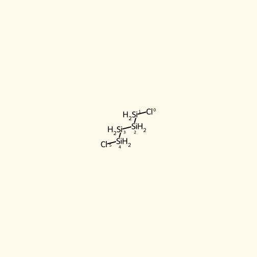 Cl[SiH2][SiH2][SiH2][SiH2]Cl